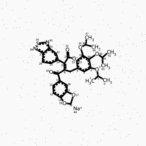 CC(C)Oc1cc(C/C(C(=O)c2ccc3c(c2)OCO3)=C(\C(=O)[O-])c2ccc3nsnc3c2)cc(OC(C)C)c1OC(C)C.[Na+]